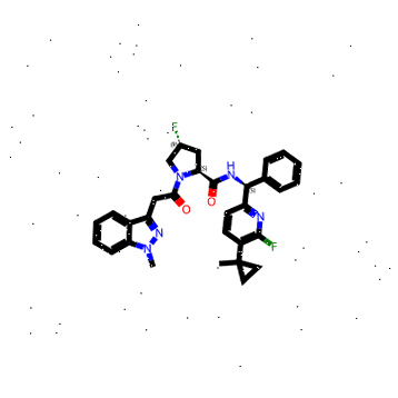 Cn1nc(CC(=O)N2C[C@H](F)C[C@H]2C(=O)N[C@@H](c2ccccc2)c2ccc(C3(C)CC3)c(F)n2)c2ccccc21